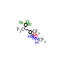 CN(NC(=O)c1ccc(/C=C/C(c2cc(Br)c(Cl)c(Br)c2)C(F)(F)F)cc1C(F)(F)F)C(=O)NCC(F)(F)F